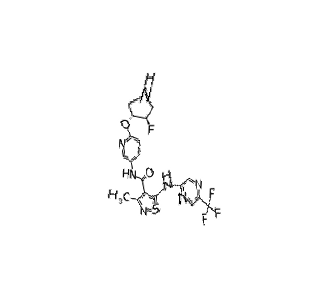 Cc1nsc(Nc2cnc(C(F)(F)F)cn2)c1C(=O)Nc1ccc(O[C@@H]2CNC[C@H]2F)nc1